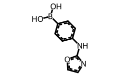 OB(O)c1ccc(Nc2ncco2)cc1